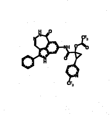 O=C1NN=Cc2c(-c3ccccc3)[nH]c3cc(NC(=O)[C@]4(OC(=O)C(F)(F)F)C[C@H]4c4ccc(C(F)(F)F)nc4)cc1c23